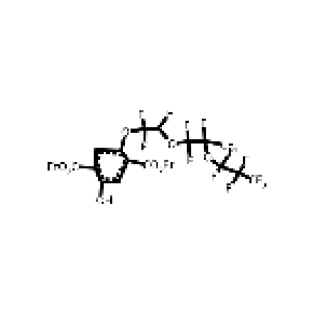 CCOC(=O)c1cc(OC(F)(F)C(F)OC(F)(F)C(F)(OC(F)(F)C(F)(F)C(F)(F)F)C(F)(F)F)c(C(=O)OCC)cc1O